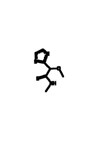 CNC(=S)C(OC)c1nccs1